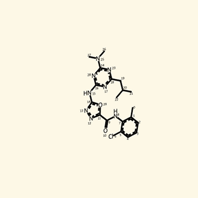 Cc1cccc(Cl)c1NC(=O)c1nnc(Nc2nc(CC(C)C)nc(N(C)C)n2)o1